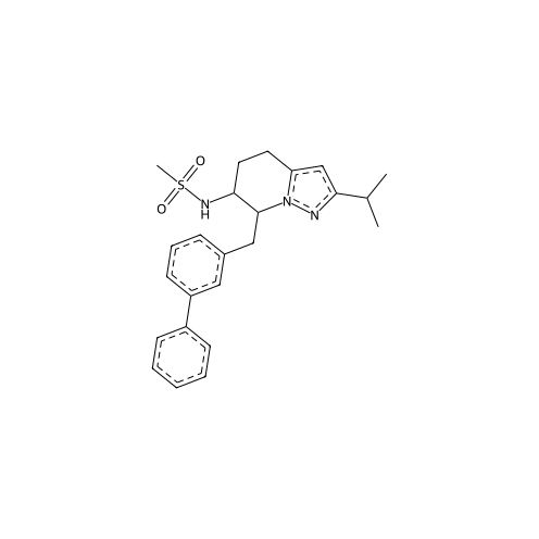 CC(C)c1cc2n(n1)C(Cc1cccc(-c3ccccc3)c1)C(NS(C)(=O)=O)CC2